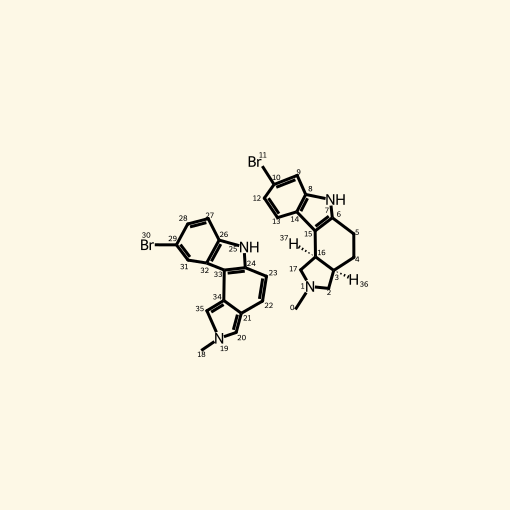 CN1C[C@@H]2CCc3[nH]c4cc(Br)ccc4c3[C@@H]2C1.Cn1cc2ccc3[nH]c4ccc(Br)cc4c3c2c1